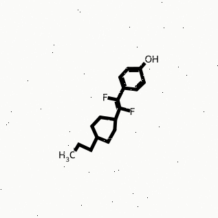 CCCC1CCC(/C(F)=C(\F)c2ccc(O)cc2)CC1